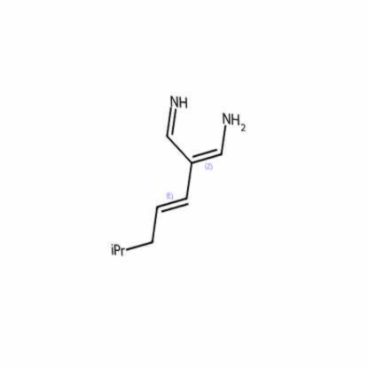 CC(C)C/C=C/C(C=N)=C/N